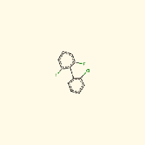 Fc1cccc(F)c1-c1[c]cccc1Cl